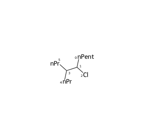 CCCCCC(Cl)C(CCC)CCC